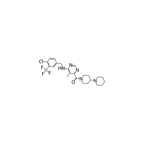 Cc1c(NCc2ccc(Cl)c(C(F)(F)F)c2)ncnc1C(=O)N1CCC(N2CCCCC2)CC1